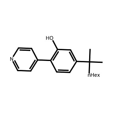 CCCCCCC(C)(C)c1ccc(-c2ccncc2)c(O)c1